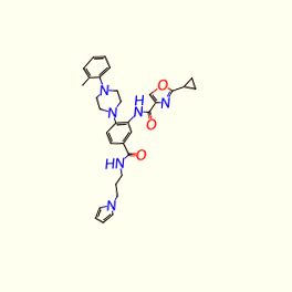 Cc1ccccc1N1CCN(c2ccc(C(=O)NCCCn3cccc3)cc2NC(=O)c2coc(C3CC3)n2)CC1